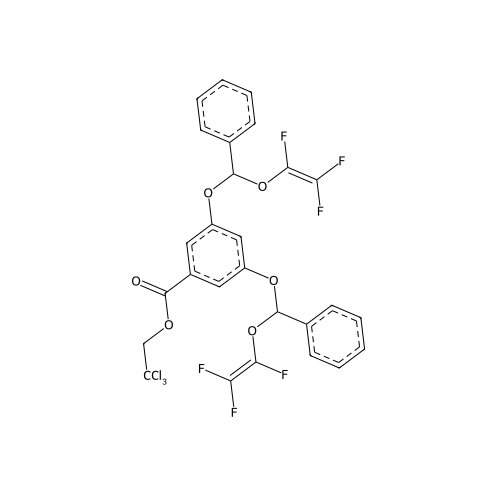 O=C(OCC(Cl)(Cl)Cl)c1cc(OC(OC(F)=C(F)F)c2ccccc2)cc(OC(OC(F)=C(F)F)c2ccccc2)c1